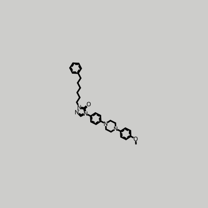 COc1ccc(N2CCN(c3ccc(-n4cnn(CCCCCCc5ccccc5)c4=O)cc3)CC2)cc1